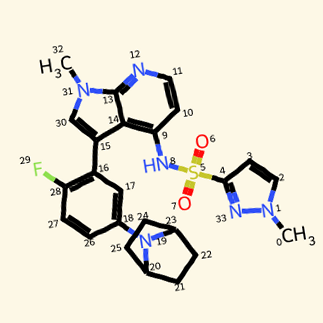 Cn1ccc(S(=O)(=O)Nc2ccnc3c2c(-c2cc(N4C5CCC4CC5)ccc2F)cn3C)n1